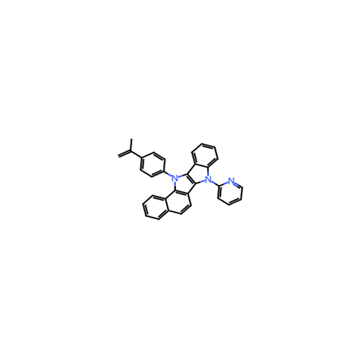 C=C(C)c1ccc(-n2c3c4ccccc4ccc3c3c2c2ccccc2n3-c2ccccn2)cc1